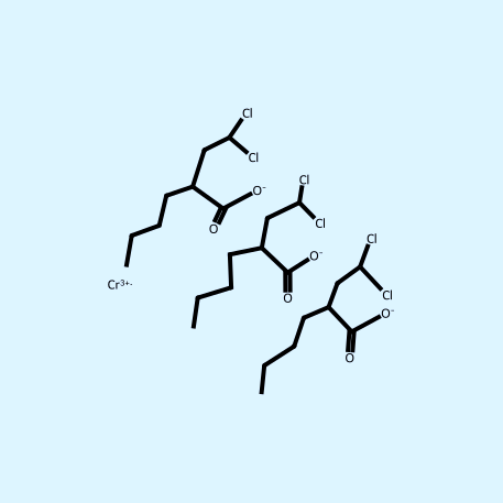 CCCCC(CC(Cl)Cl)C(=O)[O-].CCCCC(CC(Cl)Cl)C(=O)[O-].CCCCC(CC(Cl)Cl)C(=O)[O-].[Cr+3]